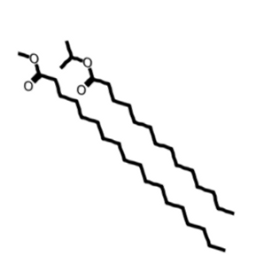 CCCCCCCCCCCCCC(=O)OC(C)C.CCCCCCCCCCCCCCCCCC(=O)OC